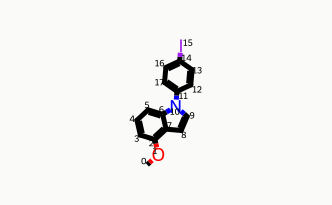 COc1cccc2c1ccn2-c1ccc(I)cc1